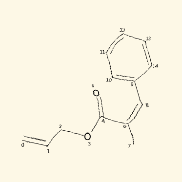 C=CCOC(=O)C(C)=Cc1ccccc1